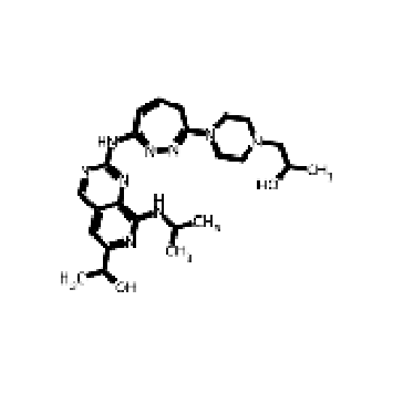 CC(O)CN1CCN(C2=NN=C(Nc3ncc4cc(C(C)O)nc(NC(C)C)c4n3)C=CC2)CC1